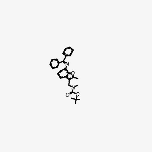 Cc1oc2c(N=C(c3ccccc3)c3ccccc3)cccc2c1CN(C)C(=O)OC(C)(C)C